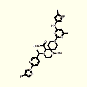 CCCCN1CCN(C(C)c2ccc(-n3cc(F)cn3)nc2)C(C(=O)C=O)C12CCN(c1nc(C)cc(Nc3cc(C)[nH]n3)n1)CC2